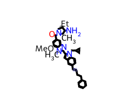 CC[C@@H]1CN(C(=O)c2cc(OC)c3c(c2)nc(-c2cc4cc(/C=C/CCc5ccccc5)ccc4n2CC2CC2)n3C)C(C)C1N